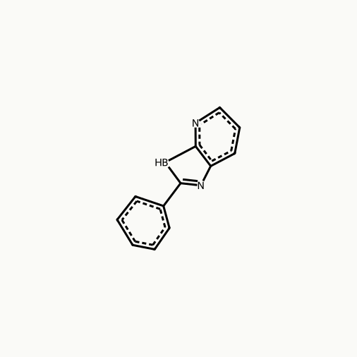 B1C(c2ccccc2)=Nc2cccnc21